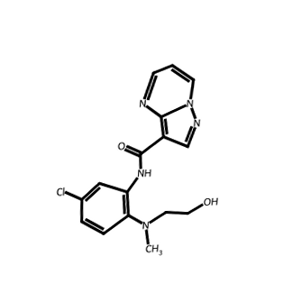 CN(CCO)c1ccc(Cl)cc1NC(=O)c1cnn2cccnc12